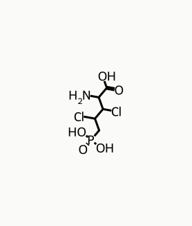 NC(C(=O)O)C(Cl)C(Cl)CP(=O)(O)O